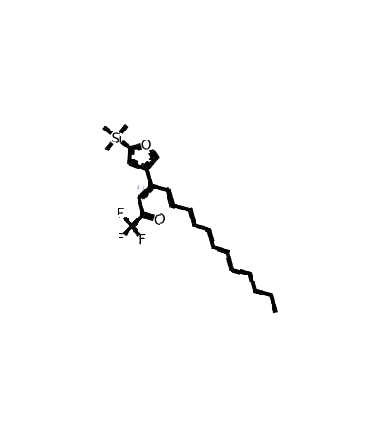 CCCCCCCCCCCC/C(=C\C(=O)C(F)(F)F)c1coc([Si](C)(C)C)c1